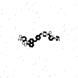 O=C1CCC(N2C(=O)c3cccc4c(Cc5ccc(CN6CCN(C(=O)c7cccc(-n8ccnc8)n7)CC6)cc5)ccc2c34)C(=O)N1